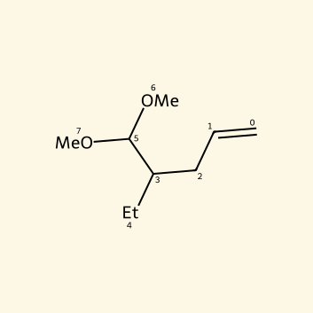 C=CCC(CC)C(OC)OC